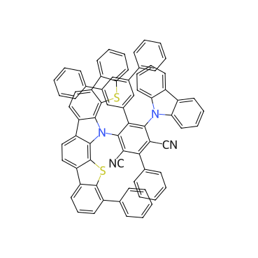 N#Cc1c(-c2ccccc2)c(C#N)c(-n2c3c(ccc4c5ccccc5sc43)c3ccc4c5cccc(-c6ccccc6)c5sc4c32)c(-c2cc(-c3ccccc3)cc(-c3ccccc3)c2)c1-n1c2ccccc2c2ccccc21